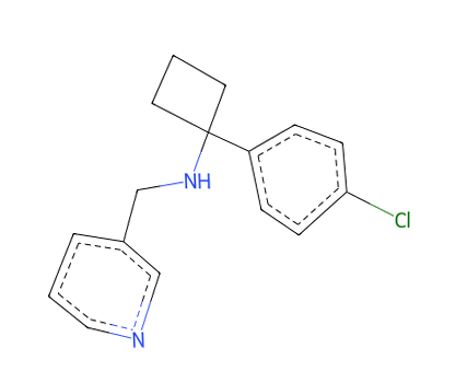 Clc1ccc(C2(NCc3cccnc3)CCC2)cc1